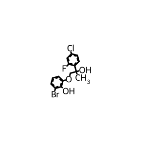 CC(O)(COc1cccc(Br)c1O)c1ccc(Cl)cc1F